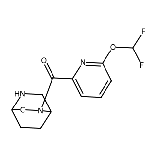 O=C(c1cccc(OC(F)F)n1)N1CC2CCC1CN2